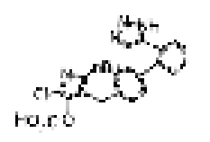 CCCCc1nc(Cl)c(OC(=O)O)n1Cc1ccc(-c2ccccc2-c2cnn[nH]2)cc1